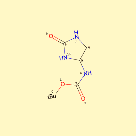 CC(C)(C)OC(=O)NC1CNC(=O)N1